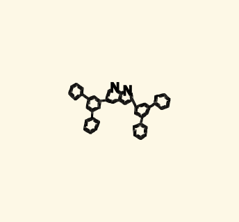 c1ccc(-c2cc(-c3ccccc3)cc(-c3cnc4ncc(-c5cc(-c6ccccc6)cc(-c6ccccc6)c5)cc4c3)c2)cc1